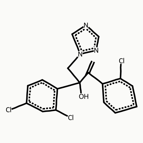 C=C(c1ccccc1Cl)C(O)(Cn1cncn1)c1ccc(Cl)cc1Cl